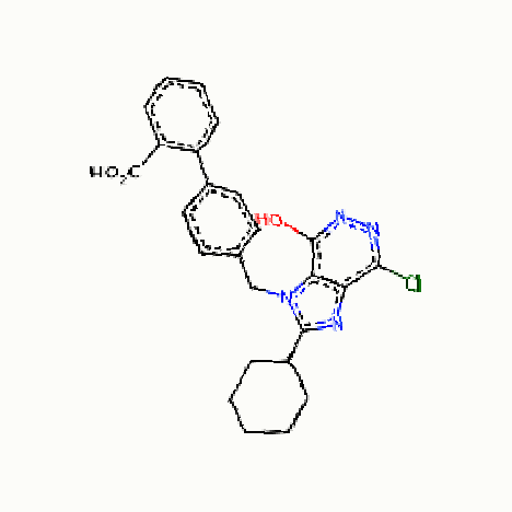 O=C(O)c1ccccc1-c1ccc(Cn2c(C3CCCCC3)nc3c(Cl)nnc(O)c32)cc1